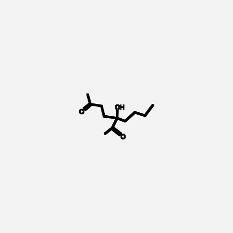 CCCCC(O)(CCC(C)=O)C(C)=O